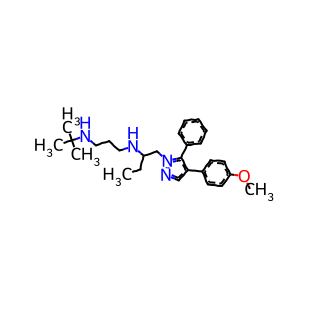 CCC(Cn1ncc(-c2ccc(OC)cc2)c1-c1ccccc1)NCCCNC(C)(C)C